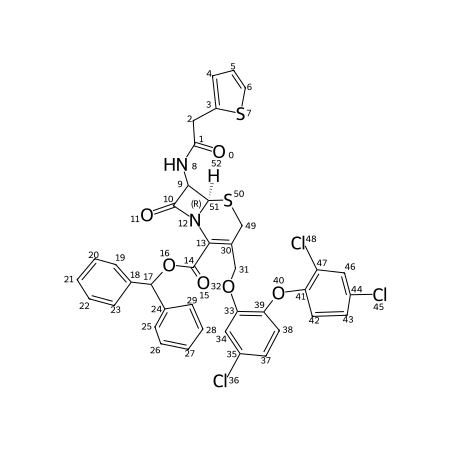 O=C(Cc1cccs1)NC1C(=O)N2C(C(=O)OC(c3ccccc3)c3ccccc3)=C(COc3cc(Cl)ccc3Oc3ccc(Cl)cc3Cl)CS[C@H]12